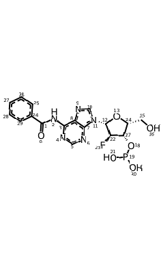 O=C(Nc1ncnc2c1ncn2[C@@H]1O[C@H](CO)[C@H](OP(O)O)[C@H]1F)c1ccccc1